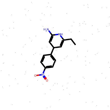 CCC1=CC(c2ccc([N+](=O)[O-])cc2)C=C(N)N1